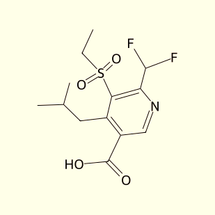 CCS(=O)(=O)c1c(C(F)F)ncc(C(=O)O)c1CC(C)C